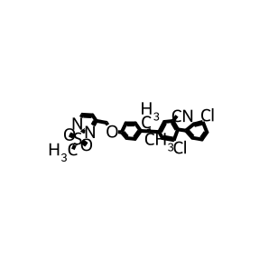 CC(C)(c1ccc(OCc2ccnc(S(C)(=O)=O)n2)cc1)c1cc(Cl)c(-c2cccc(Cl)c2)c(C#N)c1